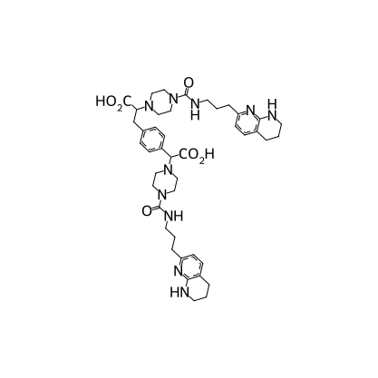 O=C(O)C(Cc1ccc(C(C(=O)O)N2CCN(C(=O)NCCCc3ccc4c(n3)NCCC4)CC2)cc1)N1CCN(C(=O)NCCCc2ccc3c(n2)NCCC3)CC1